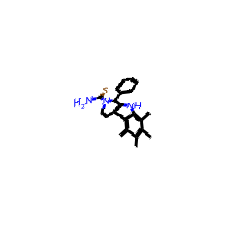 Cc1c(C)c(C)c2c3c([nH]c2c1C)C(c1ccccc1)N(C(N)=S)CC3